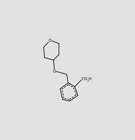 O=C(O)c1ccccc1COC1CCOCC1